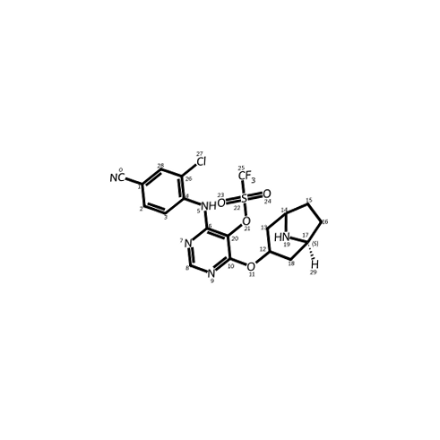 N#Cc1ccc(Nc2ncnc(OC3CC4CC[C@@H](C3)N4)c2OS(=O)(=O)C(F)(F)F)c(Cl)c1